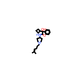 CC(C)=CCCCN1CCC(NC(=O)C(O)(c2ccccc2)C2CCC2)CC1